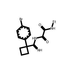 CCNC(=O)C(=O)NC(=N)C1(c2ccc(Br)cc2)CCC1